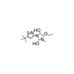 CCOC1C(O)N(c2cc(C(C)(C)C)sn2)C(O)N1C